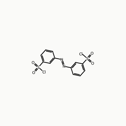 O=S(=O)(Cl)c1cccc(N=Nc2cccc(S(=O)(=O)Cl)c2)c1